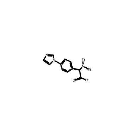 CCC(=O)C(c1ccc(-n2ccnc2)cc1)N(CC)CC